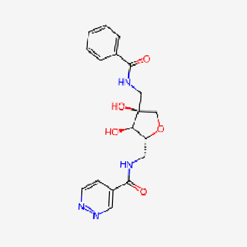 O=C(NC[C@H]1OC[C@@](O)(CNC(=O)c2ccccc2)[C@@H]1O)c1ccnnc1